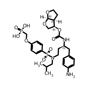 CC(C)CN(CC[C@H](Cc1ccc(N)cc1)NC(=O)O[C@H]1CO[C@H]2OCC[C@H]21)S(=O)(=O)c1ccc(OCP(=O)(O)O)cc1